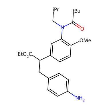 CCOC(=O)C(Cc1ccc(N)cc1)c1ccc(OC)c(N(CC(C)C)C(=O)C(C)(C)C)c1